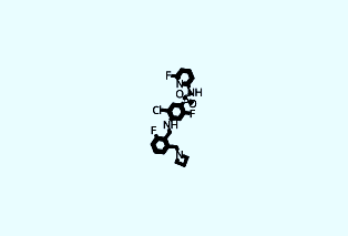 O=S(=O)(Nc1cccc(F)n1)c1cc(Cl)c(NCc2c(F)cccc2CN2CCC2)cc1F